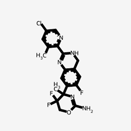 Cc1cc(Cl)cnc1C1=Nc2cc(C3(C)N=C(N)OCC3(F)F)c(F)cc2CN1